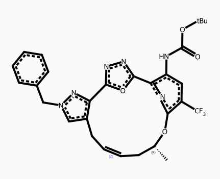 C[C@@H]1C/C=C\Cc2cn(Cc3ccccc3)nc2-c2nnc(o2)-c2nc(c(C(F)(F)F)cc2NC(=O)OC(C)(C)C)O1